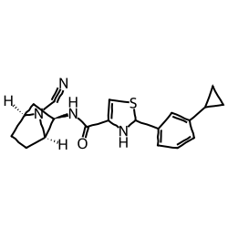 N#CN1[C@H]2CC[C@@H]1[C@H](NC(=O)C1=CSC(c3cccc(C4CC4)c3)N1)C2